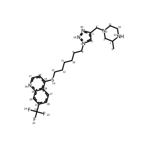 CC1CN(Cc2cn(CCCCCCSc3ccnc4cc(C(F)(F)F)ccc34)nn2)CCN1